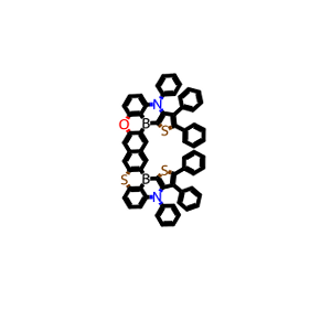 c1ccc(-c2sc3c(c2-c2ccccc2)N(c2ccccc2)c2cccc4c2B3c2cc3cc5c(cc3cc2O4)Sc2cccc3c2B5c2sc(-c4ccccc4)c(-c4ccccc4)c2N3c2ccccc2)cc1